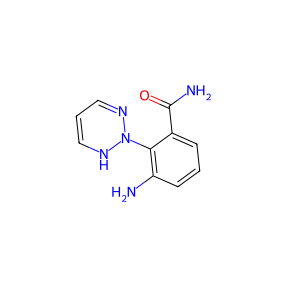 NC(=O)c1cccc(N)c1N1N=CC=CN1